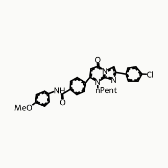 CCCCCn1c(-c2ccc(C(=O)Nc3ccc(OC)cc3)cc2)cc(=O)n2cc(-c3ccc(Cl)cc3)nc12